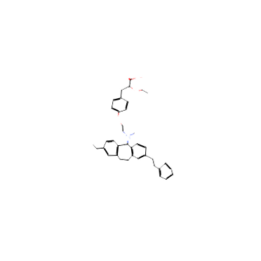 CCOC(Cc1ccc(OCCN(C)C2c3ccc(CC)cc3CCc3cc(CCc4ccccc4)ccc32)cc1)C(=O)O